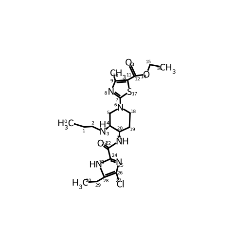 CCCN[C@H]1CN(c2nc(C)c(C(=O)OCC)s2)CC[C@H]1NC(=O)c1nc(Cl)c(CC)[nH]1